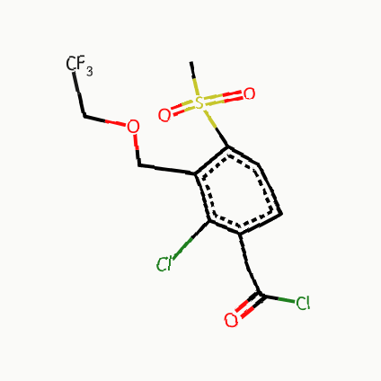 CS(=O)(=O)c1ccc(C(=O)Cl)c(Cl)c1COCC(F)(F)F